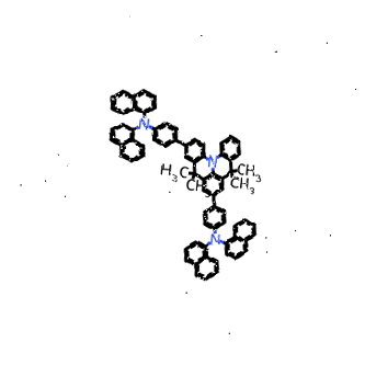 CC1(C)c2ccccc2N2c3ccc(-c4ccc(N(c5cccc6ccccc56)c5cccc6ccccc56)cc4)cc3C(C)(C)c3cc(-c4ccc(N(c5cccc6ccccc56)c5cccc6ccccc56)cc4)cc1c32